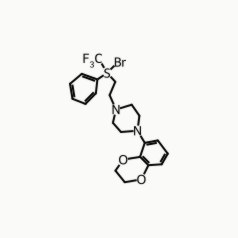 FC(F)(F)S(Br)(CCN1CCN(c2cccc3c2OCCO3)CC1)c1ccccc1